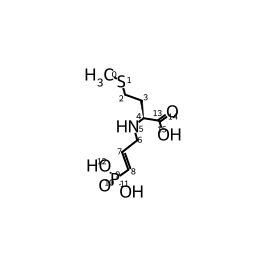 CSCC[C@H](NCC=CP(=O)(O)O)C(=O)O